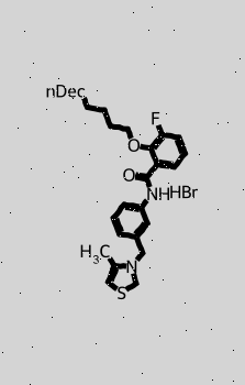 Br.CCCCCCCCCCCCCCOc1c(F)cccc1C(=O)Nc1cccc(CN2CSC=C2C)c1